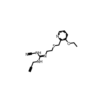 C#CCN/C(=N/CCSCc1ncccc1OCC)NC#N